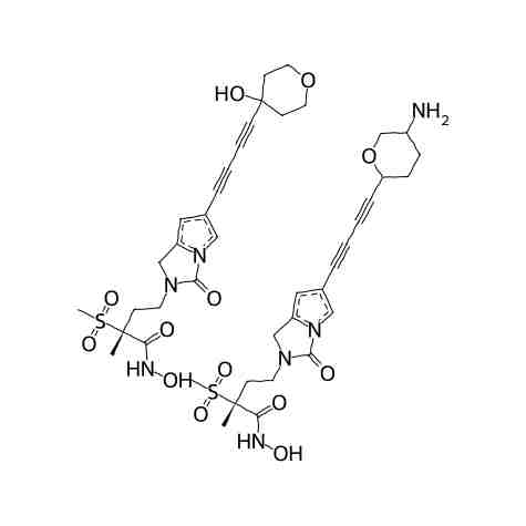 C[C@@](CCN1Cc2cc(C#CC#CC3(O)CCOCC3)cn2C1=O)(C(=O)NO)S(C)(=O)=O.C[C@@](CCN1Cc2cc(C#CC#CC3CCC(N)CO3)cn2C1=O)(C(=O)NO)S(C)(=O)=O